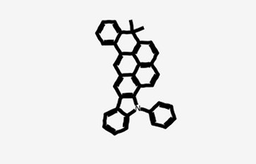 CC1(C)c2ccccc2-c2cc3cc4c5ccccc5n(-c5ccccc5)c4c4ccc5ccc1c2c5c34